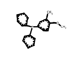 COc1ccc(P(c2ccccc2)c2ccccc2)cc1C